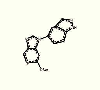 COc1ncc2ncn(-c3ccc4[nH]ncc4c3)c2n1